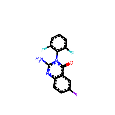 Nc1nc2ccc(I)cc2c(=O)n1-c1c(F)cccc1F